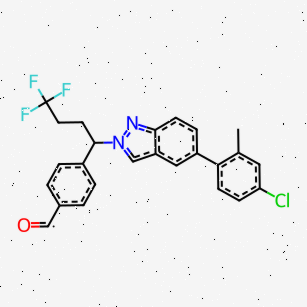 Cc1cc(Cl)ccc1-c1ccc2nn(C(CCC(F)(F)F)c3ccc([C]=O)cc3)cc2c1